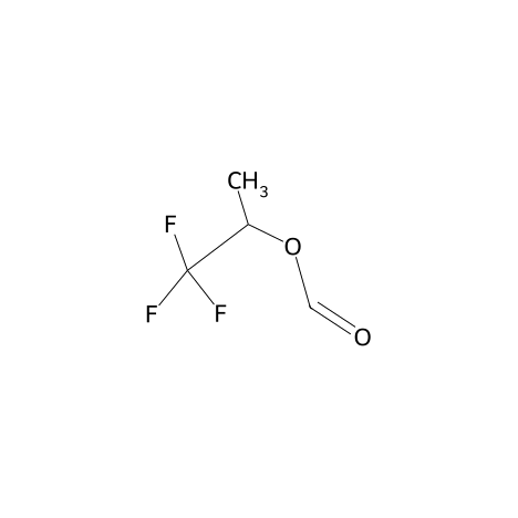 CC(OC=O)C(F)(F)F